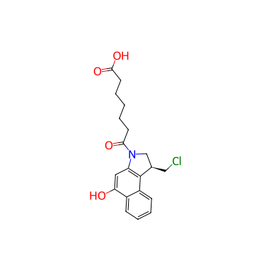 O=C(O)CCCCCC(=O)N1C[C@@H](CCl)c2c1cc(O)c1ccccc21